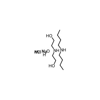 CCCCNCCCC.Cl.O.OCCNCCO.[Mn].[NaH]